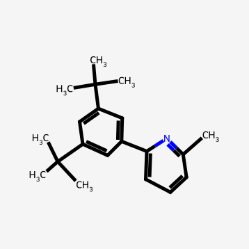 Cc1cccc(-c2cc(C(C)(C)C)cc(C(C)(C)C)c2)n1